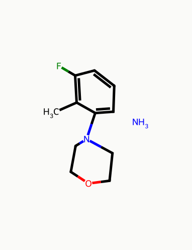 Cc1c(F)cccc1N1CCOCC1.N